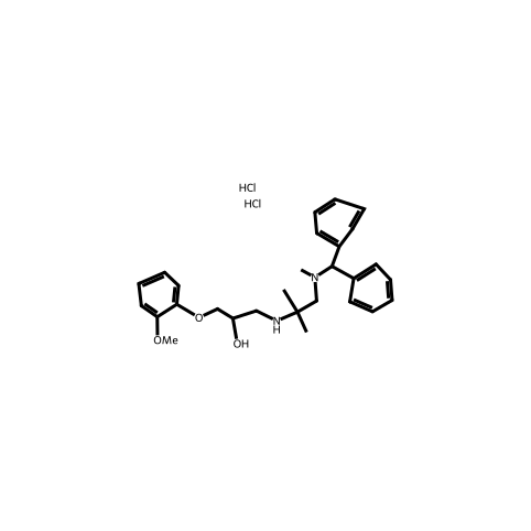 COc1ccccc1OCC(O)CNC(C)(C)CN(C)C(c1ccccc1)c1ccccc1.Cl.Cl